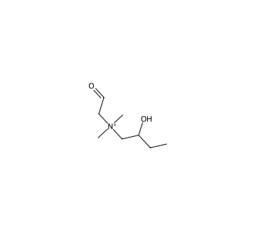 CCC(O)C[N+](C)(C)CC=O